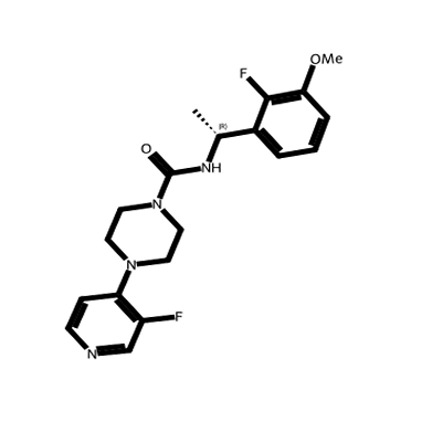 COc1cccc([C@@H](C)NC(=O)N2CCN(c3ccncc3F)CC2)c1F